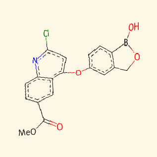 COC(=O)c1ccc2nc(Cl)cc(Oc3ccc4c(c3)COB4O)c2c1